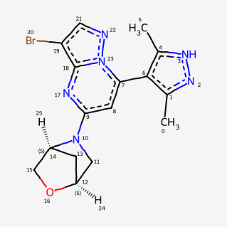 Cc1n[nH]c(C)c1-c1cc(N2C[C@@H]3C[C@H]2CO3)nc2c(Br)cnn12